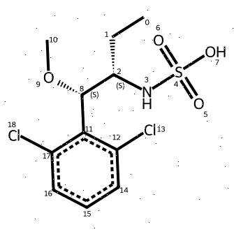 CC[C@H](NS(=O)(=O)O)[C@@H](OC)c1c(Cl)cccc1Cl